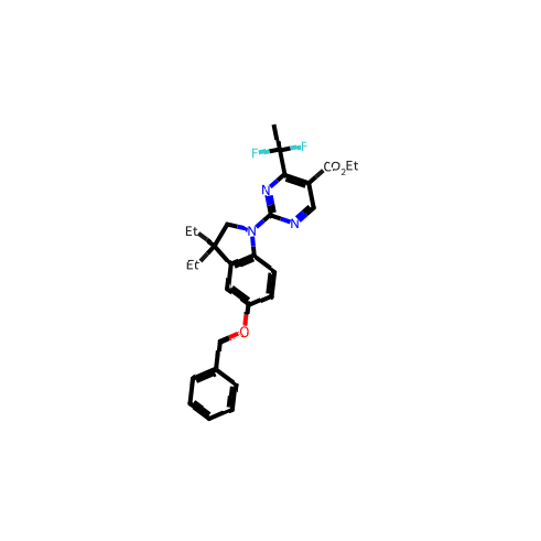 CCOC(=O)c1cnc(N2CC(CC)(CC)c3cc(OCc4ccccc4)ccc32)nc1C(C)(F)F